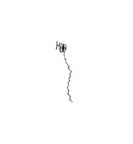 CCCCCCCCCCCCCCCCCCCCCCOS(=O)(=O)O